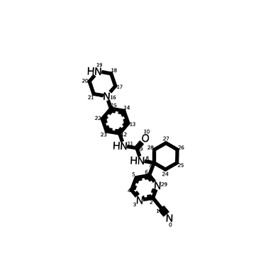 N#Cc1nccc(C2(NC(=O)Nc3ccc(N4CCNCC4)cc3)CCCCC2)n1